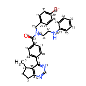 CC1CCc2ncnc(-c3ccc(C(=O)N(CCNc4ccccc4)Cc4ccc(Br)cc4)cc3)c21